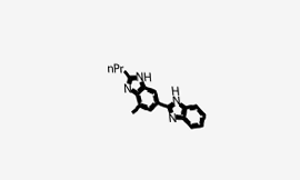 CCCc1nc2c(C)cc(-c3nc4ccccc4[nH]3)cc2[nH]1